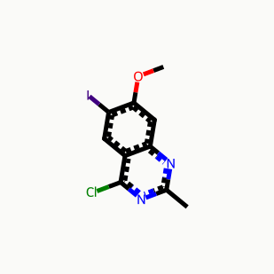 COc1cc2nc(C)nc(Cl)c2cc1I